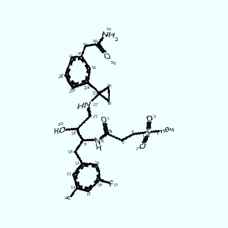 CCCCS(=O)(=O)C[CH]C(=O)NC(Cc1cc(F)cc(F)c1)C(O)CNC1(c2cccc(CC(N)=O)c2)CC1